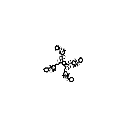 CC1(C)CC(CCC(=O)c2cc(C(=O)CC3CC(C)(C)N(OC4CCCCC4)C(C)(C)C3)c(C(=O)OC3CC(C)(C)N(OC4CCCCC4)C(C)(C)C3)cc2C(=O)OC2CC(C)(C)N(OC3CCCCC3)C(C)(C)C2)CC(C)(C)N1OC1CCCCC1